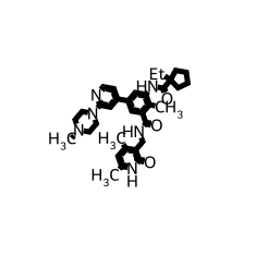 CCC1(C(=O)Nc2cc(-c3ccnc(N4CCN(C)CC4)c3)cc(C(=O)NCc3c(C)cc(C)[nH]c3=O)c2C)CCCC1